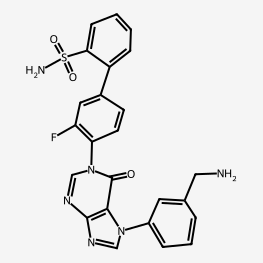 NCc1cccc(-n2cnc3ncn(-c4ccc(-c5ccccc5S(N)(=O)=O)cc4F)c(=O)c32)c1